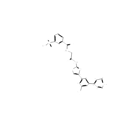 CC(C)S(=O)(=O)c1cccc(C(=O)NCC(=O)Nc2nc(-c3cc(C#N)cc(-c4ccncc4)c3)cs2)c1